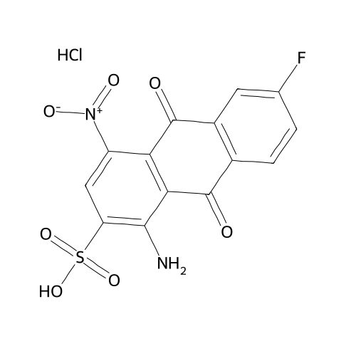 Cl.Nc1c(S(=O)(=O)O)cc([N+](=O)[O-])c2c1C(=O)c1ccc(F)cc1C2=O